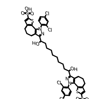 O=S(=O)(O)c1cc2c(s1)-c1c(c(C(O)CCCCCCCCC(O)c3nn(-c4ccc(Cl)cc4Cl)c4c3CCCc3cc(S(=O)(=O)O)sc3-4)nn1-c1ccc(Cl)cc1Cl)CCC2